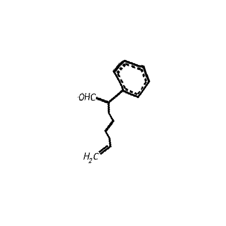 C=CCCC([C]=O)c1ccccc1